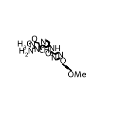 COCC#CCOc1cnc(C(=O)Nc2ccnc(C3(C)CC(=O)N(C)C(N)=N3)c2)cn1